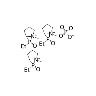 CCP1(=O)C2CCC[N+]21C.CCP1(=O)C2CCC[N+]21C.CCP1(=O)C2CCC[N+]21C.O=P([O-])([O-])[O-]